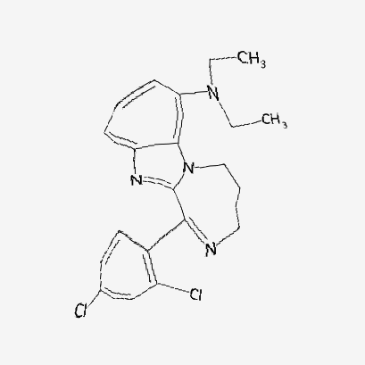 CCN(CC)c1cccc2nc3n(c12)CCCN=C3c1ccc(Cl)cc1Cl